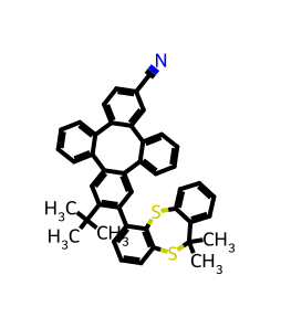 CC(C)(C)c1cc2c(cc1-c1cccc3c1Sc1ccccc1C(C)(C)S3)-c1ccccc1-c1cc(C#N)ccc1-c1ccccc1-2